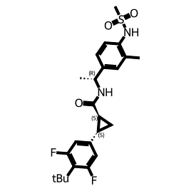 Cc1cc([C@@H](C)NC(=O)[C@H]2C[C@@H]2c2cc(F)c(C(C)(C)C)c(F)c2)ccc1NS(C)(=O)=O